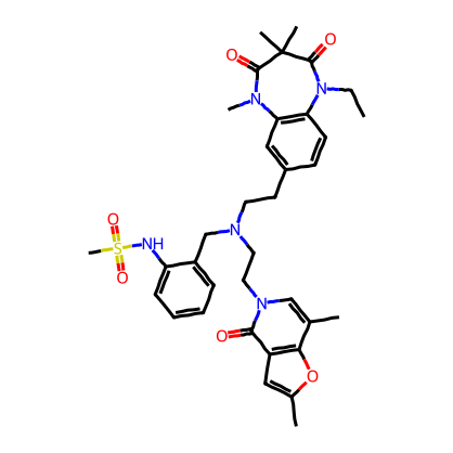 CCN1C(=O)C(C)(C)C(=O)N(C)c2cc(CCN(CCn3cc(C)c4oc(C)cc4c3=O)Cc3ccccc3NS(C)(=O)=O)ccc21